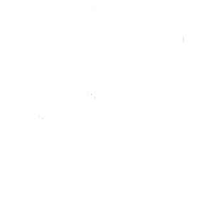 CC1(O)CCC(CN2CCC(CC3CC3)(C(=O)NCc3cc(C(F)(F)F)cc(C(F)(F)F)c3)C2)CC1